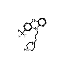 FC(F)(F)c1ccc2c(c1)N(CCCN1CCNCC1)c1ccccc1O2